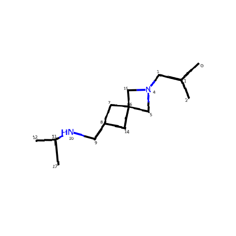 CC(C)CN1CC2(CC(CNC(C)C)C2)C1